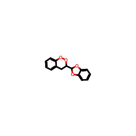 c1ccc2c(c1)C[C](C1Oc3ccccc3O1)OO2